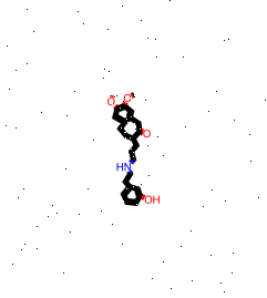 COc1cc2c(cc1OC)CC(=O)C(CCCNCCc1cccc(O)c1)CC2